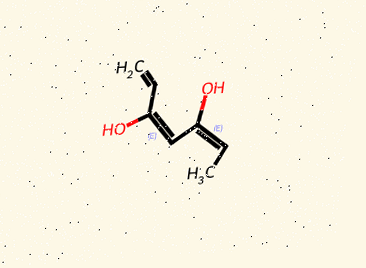 C=C/C(O)=C\C(O)=C/C